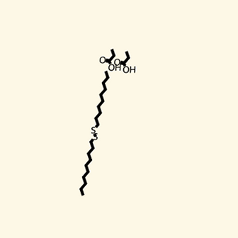 CCC(=O)O.CCC(=O)O.CCCCCCCCCCSSCCCCCCCCCC